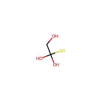 OCC(O)(O)S